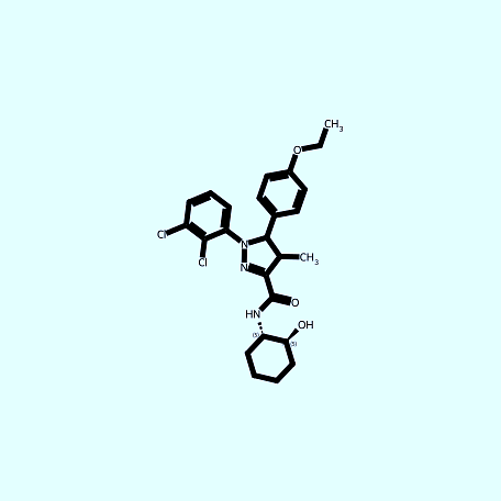 CCOc1ccc(C2C(C)C(C(=O)N[C@H]3CCCC[C@@H]3O)=NN2c2cccc(Cl)c2Cl)cc1